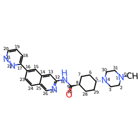 CN1CCN([C@H]2CC[C@H](C(=O)Nc3cc4cc(-c5cccnn5)ccc4cn3)CC2)CC1